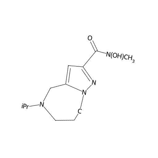 CC(C)N1CCCn2nc(C(=O)N(C)O)cc2C1